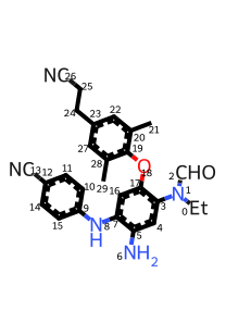 CCN(C=O)c1cc(N)c(Nc2ccc(C#N)cc2)cc1Oc1c(C)cc(CCC#N)cc1C